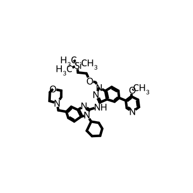 COc1ccncc1-c1ccc2c(c1)c(Nc1nc3cc(CN4CCOCC4)ccc3n1C1CCCCC1)nn2COCC[Si](C)(C)C